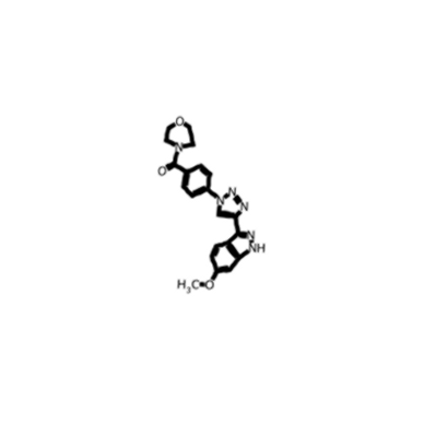 COc1ccc2c(-c3cn(-c4ccc(C(=O)N5CCOCC5)cc4)nn3)n[nH]c2c1